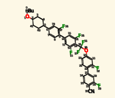 CCCCOC1CCC(c2ccc(-c3cc(F)c(C(F)(F)Oc4ccc(-c5ccc(C#N)c(F)c5)c(F)c4)c(F)c3)c(F)c2)CC1